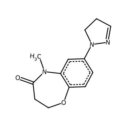 CN1C(=O)CCOc2ccc(N3CCC=N3)cc21